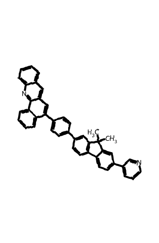 CC1(C)c2cc(-c3ccc(-c4cc5cc6ccccc6nc5c5ccccc45)cc3)ccc2-c2ccc(-c3cccnc3)cc21